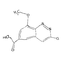 COc1cc(C(=O)O)cc2cc(Cl)nnc12